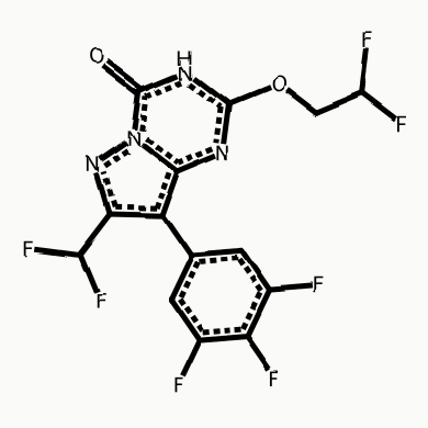 O=c1[nH]c(OCC(F)F)nc2c(-c3cc(F)c(F)c(F)c3)c(C(F)F)nn12